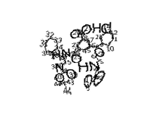 COC(=O)NCCOC(c1cccc(Cl)c1)c1cc(C(=O)O)cc(C(=O)N[C@@H](CC2CCCCC2)CN(C)C(=O)OC(C)(C)C)c1